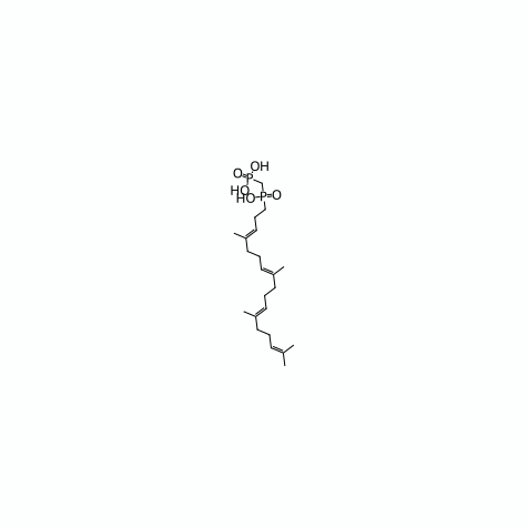 CC(C)=CCCC(C)=CCCC(C)=CCCC(C)=CCCP(=O)(O)CP(=O)(O)O